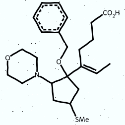 CC=C(CCCC(=O)O)C1(OCc2ccccc2)CC(SC)CC1N1CCOCC1